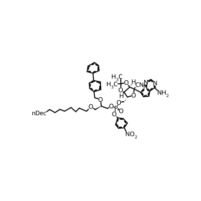 CCCCCCCCCCCCCCCCCCOC[C@H](COP(=O)(OC[C@H]1O[C@@](C#N)(c2ccc3c(N)ncnn23)[C@@H]2OC(C)(C)O[C@@H]21)Oc1ccc([N+](=O)[O-])cc1)OCc1ccc(-c2ccccc2)cc1